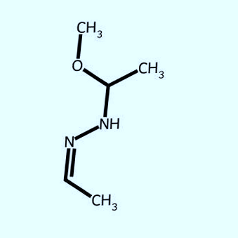 C/C=N\NC(C)OC